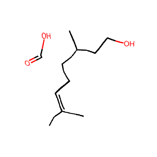 CC(C)=CCCC(C)CCO.O=CO